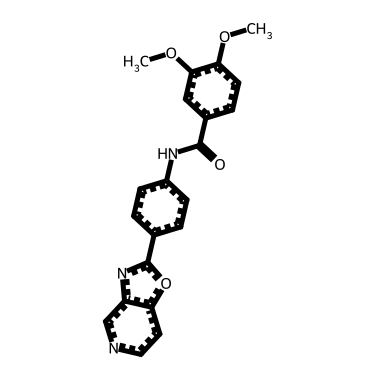 COc1ccc(C(=O)Nc2ccc(-c3nc4cnccc4o3)cc2)cc1OC